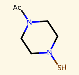 CC(=O)N1CCN(S)CC1